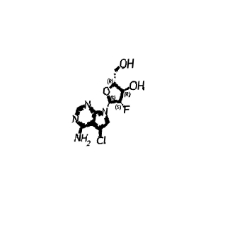 Nc1ncnc2c1c(Cl)cn2[C@@H]1O[C@H](CO)[C@@H](O)[C@@H]1F